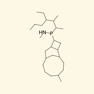 CCCC(CC)C(C)C(C)P(NC)C1CC2C3CCC(C)CCCC(C3)CC21